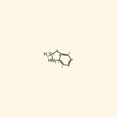 c1ccc2c(c1)C[SiH2]N2